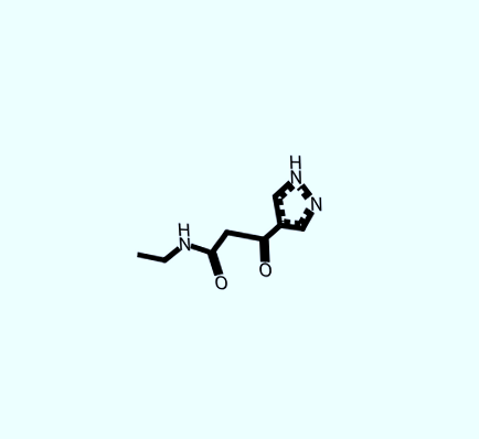 CCNC(=O)CC(=O)c1cn[nH]c1